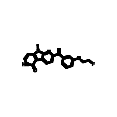 Cn1c2cc[nH]c(=O)c2c2ccc(Nc3cccc(OCCF)c3)nc21